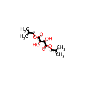 CC(C)COC(=O)C(O)C(O)C(=O)OCC(C)C